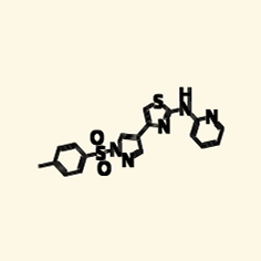 Cc1ccc(S(=O)(=O)n2cc(-c3csc(Nc4ccccn4)n3)cn2)cc1